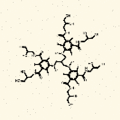 CC(=O)N(CC(CN(C(C)=O)c1c(I)c(C(=O)NCC(O)CO)c(I)c(C(=O)NCC(O)CO)c1I)CN(C(C)=O)c1c(I)c(C(=O)NCC(O)CO)c(I)c(C(=O)NCC(O)CO)c1I)c1c(I)c(C(=O)NCC(O)CO)c(I)c(C(=O)NCC(O)CO)c1I